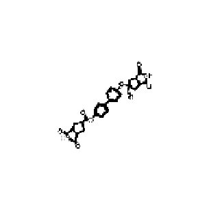 O=CC1(Oc2ccc(-c3ccc(OC(=O)C4CC5C(=O)NC(=O)C5C4)cc3)cc2)CC2C(=O)NC(=O)C2C1